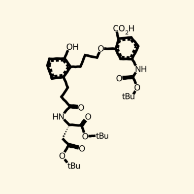 CC(C)(C)OC(=O)C[C@H](NC(=O)CCc1cccc(O)c1CCCOc1cc(NC(=O)OC(C)(C)C)ccc1C(=O)O)C(=O)OC(C)(C)C